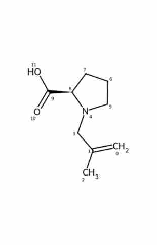 C=C(C)CN1CCC[C@@H]1C(=O)O